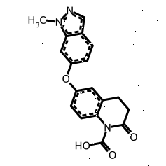 Cn1ncc2ccc(Oc3ccc4c(c3)CCC(=O)N4C(=O)O)cc21